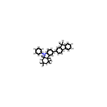 CC1(C)CC(C)(C)C2(C)c3cc(-c4ccc5c(c4)C(C)(C)c4ccccc4-5)ccc3N(c3ccccc3)C2(C)C1